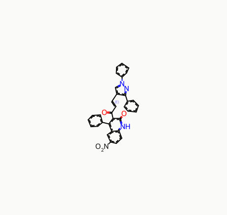 O=C(/C=C/c1cn(-c2ccccc2)nc1-c1ccccc1)c1c(-c2ccccc2)c2cc([N+](=O)[O-])ccc2[nH]c1=O